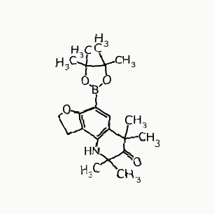 CC1(C)Nc2c(cc(B3OC(C)(C)C(C)(C)O3)c3c2CCO3)C(C)(C)C1=O